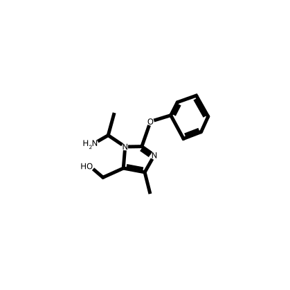 Cc1nc(Oc2ccccc2)n(C(C)N)c1CO